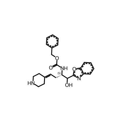 O=C(N[C@@H](CC=C1CCNCC1)C(O)c1nc2ccccc2o1)OCc1ccccc1